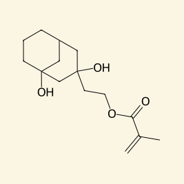 C=C(C)C(=O)OCCC1(O)CC2CCCC(O)(C2)C1